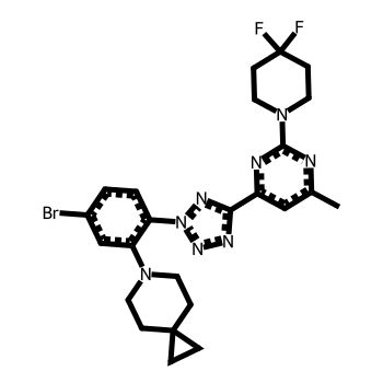 Cc1cc(-c2nnn(-c3ccc(Br)cc3N3CCC4(CC3)CC4)n2)nc(N2CCC(F)(F)CC2)n1